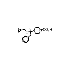 C[C@@](Cc1ccccc1)(OCC1CC1)N1CCN(C(=O)O)CC1